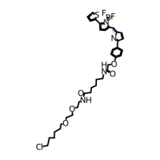 O=C(CCCCCNC(=O)COc1ccc(C2=N/C(=C\c3ccc(-c4cccs4)n3B(F)F)C=C2)cc1)NCCOCCOCCCCCCCl